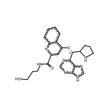 O=C(NCCCO)c1cc(O[C@@H](c2ncnc3[nH]cnc23)C2CCCN2)c2ccccc2n1